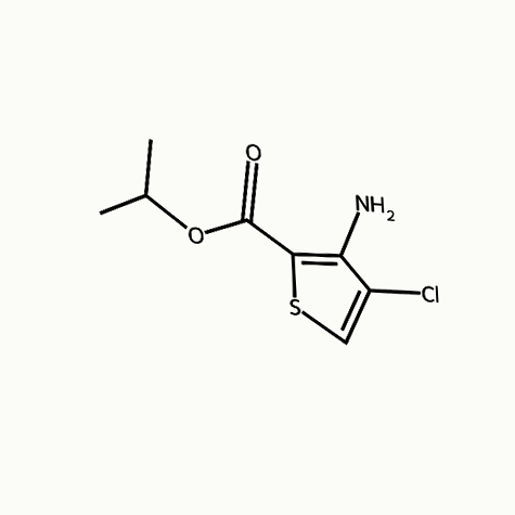 CC(C)OC(=O)c1scc(Cl)c1N